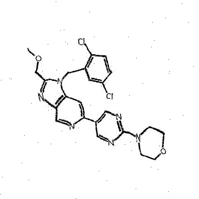 COCc1nc2cnc(-c3cnc(N4CCOCC4)nc3)cc2n1Cc1cc(Cl)ccc1Cl